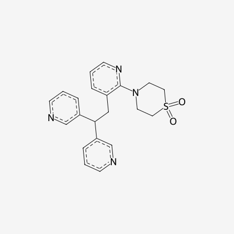 O=S1(=O)CCN(c2ncccc2CC(c2cccnc2)c2cccnc2)CC1